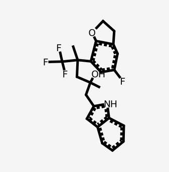 CC(O)(Cc1cc2ccccc2[nH]1)CC(C)(c1cc(F)cc2c1OCC2)C(F)(F)F